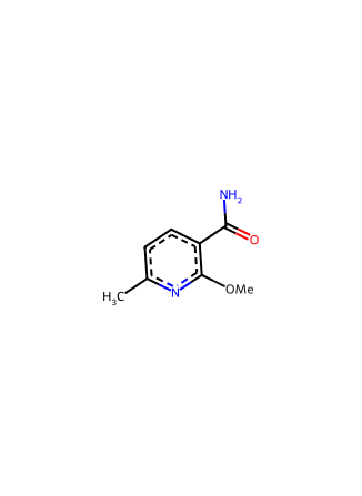 COc1nc(C)ccc1C(N)=O